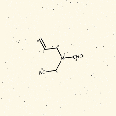 C=CCN([C]=O)CC#N